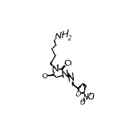 NCCCCCN1C(=O)CN(/N=C/c2ccc([N+](=O)[O-])o2)C1=O